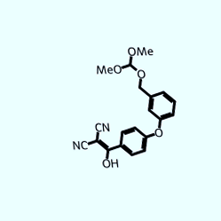 COC(OC)OCc1cccc(Oc2ccc(C(O)=C(C#N)C#N)cc2)c1